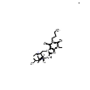 C/C=C(\C=C/C(C)Cl)Cn1c(NS(=O)(=O)C(C)C)nc2c1c(=O)n(CCCO)c(=O)n2C